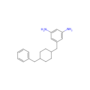 Nc1cc(N)cc(CC2CCC(Cc3ccccc3)CC2)c1